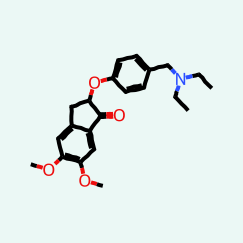 CCN(CC)Cc1ccc(OC2Cc3cc(OC)c(OC)cc3C2=O)cc1